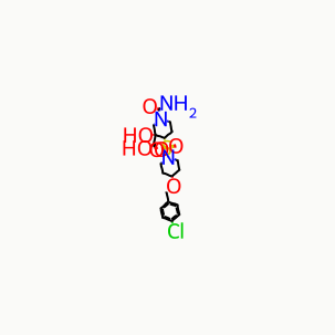 NC(=O)N1CCC(S(=O)(=O)N2CCC(OCc3ccc(Cl)cc3)CC2)C(O)(C(=O)O)C1